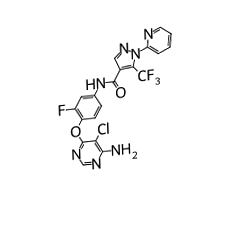 Nc1ncnc(Oc2ccc(NC(=O)c3cnn(-c4ccccn4)c3C(F)(F)F)cc2F)c1Cl